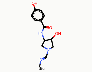 CC(C)(C)N=CN1CC(O)C(NC(=O)c2ccc(O)cc2)C1